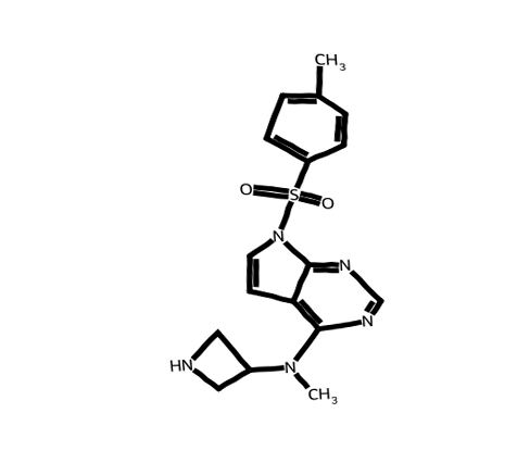 Cc1ccc(S(=O)(=O)n2ccc3c(N(C)C4CNC4)ncnc32)cc1